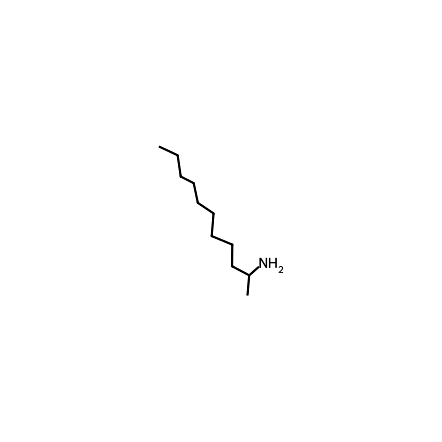 CCCCCCCCCC(C)N